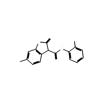 O=C(Nc1ccccc1Cl)C1C(=O)Sc2cc(Cl)ccc21